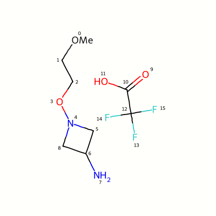 COCCON1CC(N)C1.O=C(O)C(F)(F)F